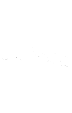 C=C(NC(=O)CCCCCCCCCCCCCCC)c1ccc(C(=O)OC)cc1